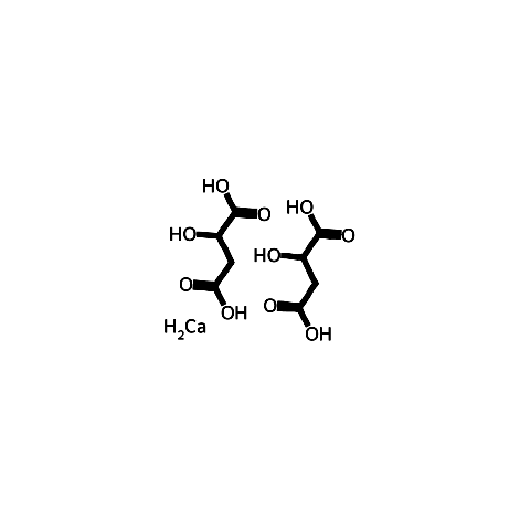 O=C(O)CC(O)C(=O)O.O=C(O)CC(O)C(=O)O.[CaH2]